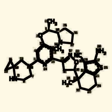 C[C@H](Oc1cc(N2CCNC3(CC3)C2)nc(C2=NOC([C@@]3(C)CCCc4sc(N)c(C#N)c43)C2)n1)[C@@H]1CCCN1C